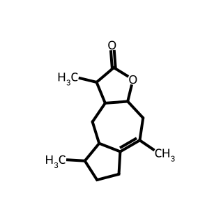 CC1=C2CCC(C)C2CC2C(C1)OC(=O)C2C